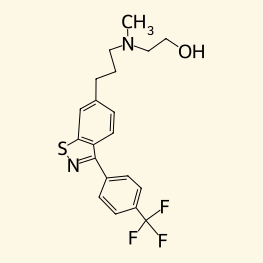 CN(CCO)CCCc1ccc2c(-c3ccc(C(F)(F)F)cc3)nsc2c1